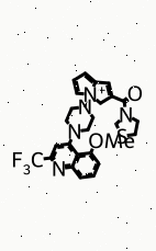 COc1cccc2nc(C(F)(F)F)cc(N3CCN([N@@+]45C=CC=C4C=C(C(=O)N4CCSC4)C5)CC3)c12